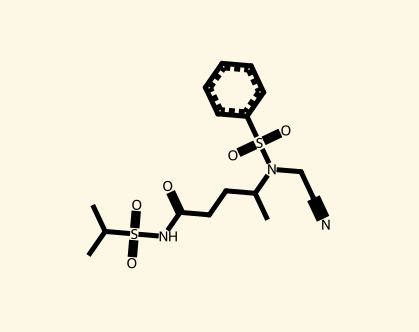 CC(CCC(=O)NS(=O)(=O)C(C)C)N(CC#N)S(=O)(=O)c1ccccc1